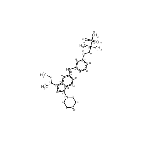 CC[C@@H](C)n1nc(N2CCOCC2)c2cnc(Nc3ccnc(OCC(C)(C)S(C)(=O)=O)n3)cc21